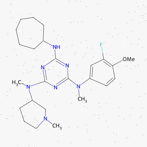 COc1ccc(N(C)c2nc(NC3CCCCCC3)nc(N(C)C3CCCN(C)C3)n2)cc1F